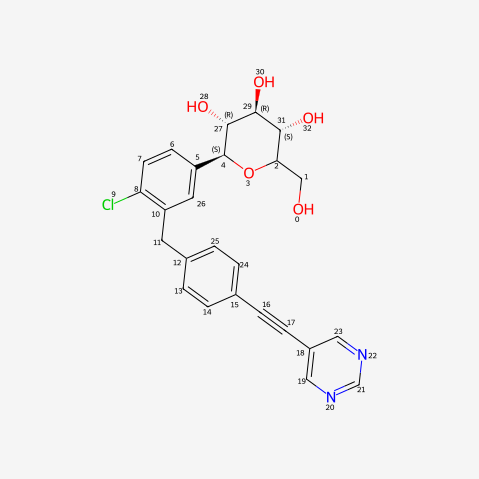 OCC1O[C@@H](c2ccc(Cl)c(Cc3ccc(C#Cc4cncnc4)cc3)c2)[C@H](O)[C@@H](O)[C@@H]1O